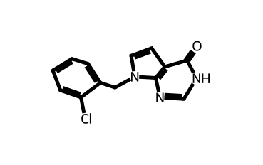 O=c1[nH]cnc2c1ccn2Cc1ccccc1Cl